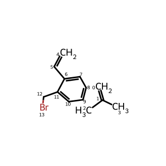 C=C(C)C.C=Cc1ccccc1CBr